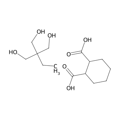 CCC(CO)(CO)CO.O=C(O)C1CCCCC1C(=O)O